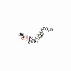 CCOC(=O)CSCc1sc(CCC(CC)c2ccc(OCC(=O)C(C)(C)C)c(C)c2)cc1C